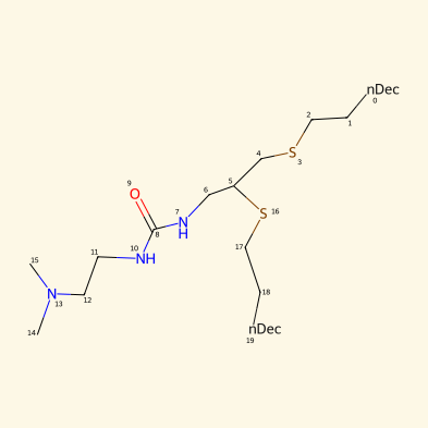 CCCCCCCCCCCCSCC(CNC(=O)NCCN(C)C)SCCCCCCCCCCCC